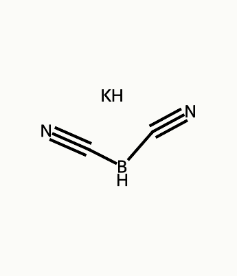 N#CBC#N.[KH]